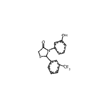 O=C1CSC(c2cccc(C(F)(F)F)c2)N1c1cccc(O)c1